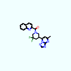 Cc1cc(C2CN(C(=O)c3ccc4ccccc4n3)CC(F)(F)C2)n2ncnc2n1